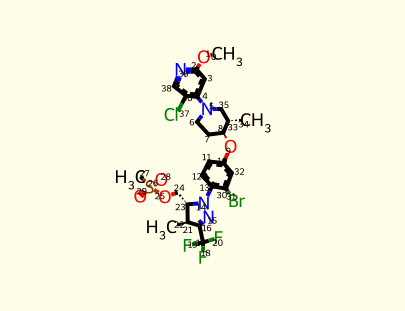 COc1cc(N2CC[C@@H](Oc3ccc(N4N=C(C(F)(F)F)[C@@H](C)[C@@H]4COS(C)(=O)=O)c(Br)c3)[C@@H](C)C2)c(Cl)cn1